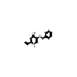 C=Cc1cc(=O)c(OCc2ccccc2)c[nH]1